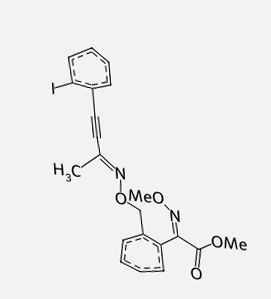 CO/N=C(/C(=O)OC)c1ccccc1CO/N=C(\C)C#Cc1ccccc1I